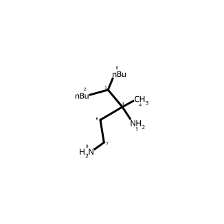 CCCCC(CCCC)C(C)(N)CCN